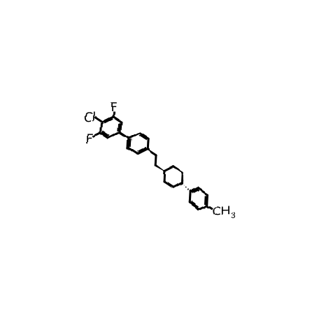 Cc1ccc([C@H]2CC[C@H](CCc3ccc(-c4cc(F)c(Cl)c(F)c4)cc3)CC2)cc1